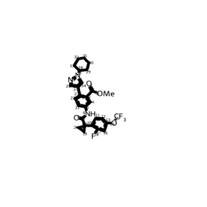 COC(=O)c1cc(NC(=O)C2(c3ccc(OC(F)(F)F)cc3F)CC2)ccc1-c1cnn(C2CCCCC2)c1